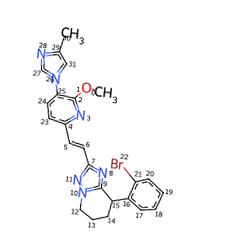 COc1nc(/C=C/c2nc3n(n2)CCCC3c2ccccc2Br)ccc1-n1cnc(C)c1